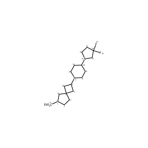 CCOC(=O)N1CCC2(CC(N3CCC(N4CCC(F)(F)C4)CC3)C2)C1